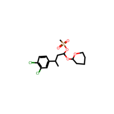 CC(CC(OC1CCCCO1)OS(C)(=O)=O)c1ccc(Cl)c(Cl)c1